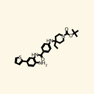 CCC1(Nc2ccc(C(=O)Nc3cc(-c4cccs4)ccc3N)cc2)CCN(C(=O)OC(C)(C)C)CC1